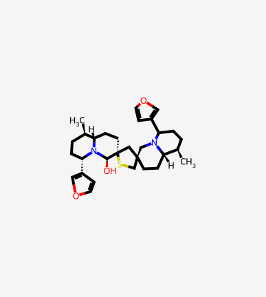 C[C@@H]1CCC(c2ccoc2)N2C[C@@]3(CC[C@@H]12)CS[C@]1(CC[C@H]2[C@H](C)CC[C@@H](c4ccoc4)N2[C@@H]1O)C3